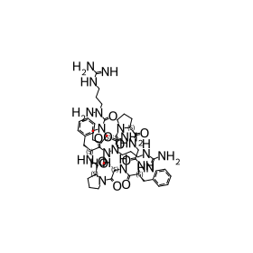 N=C(N)NCCCN(N)C(=O)N1CCC[C@H]1C(=O)N1CCC[C@H]1C(=O)NCC(=O)N[C@@H](Cc1ccccc1)C(=O)N[C@@H](CO)C(=O)N1CCC[C@H]1C(=O)N[C@@H](Cc1ccccc1)C(=O)NN(CCCNC(=N)N)C(N)=O